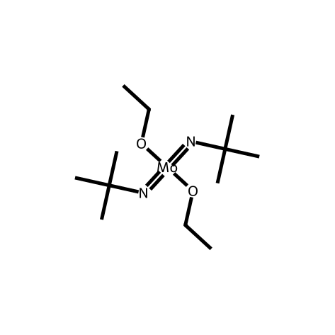 CC[O][Mo](=[N]C(C)(C)C)(=[N]C(C)(C)C)[O]CC